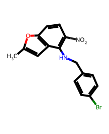 Cc1cc2c(NCc3ccc(Br)cc3)c([N+](=O)[O-])ccc2o1